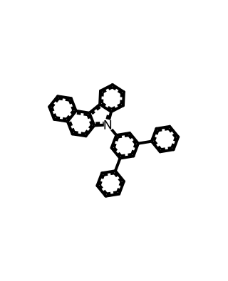 c1ccc(-c2cc(-c3ccccc3)cc(-n3c4ccccc4c4c5ccccc5ccc43)c2)cc1